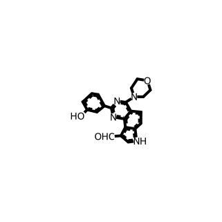 O=Cc1c[nH]c2ccc3c(N4CCOCC4)nc(-c4cccc(O)c4)nc3c12